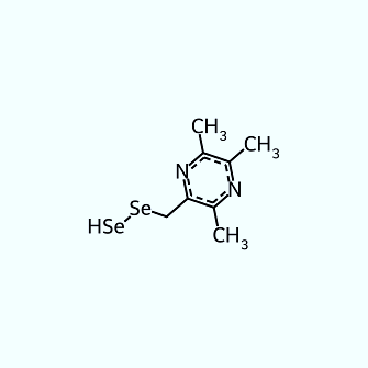 Cc1nc(C)c(C[Se][SeH])nc1C